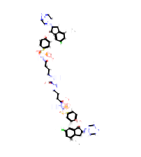 N#Cc1cc(Cl)cc2c1C[C@H](N1CCNCC1)[C@H]2Oc1ccc(S(=O)(=O)NC(=O)CCCNC(=O)NCCCC(=O)NS(=O)(=O)c2ccc(O[C@H]3c4cc(Cl)cc(C#N)c4C[C@@H]3N3CCNCC3)cc2)cc1